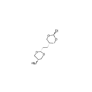 CCCC[C@H]1CO[C@H](CC[C@H]2CO[C@H](CC)OC2)OC1